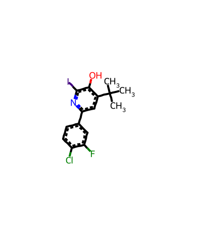 CC(C)(C)c1cc(-c2ccc(Cl)c(F)c2)nc(I)c1O